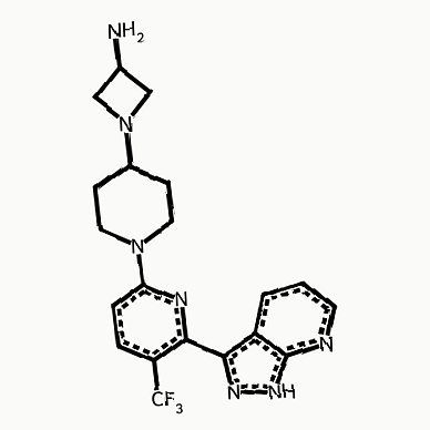 NC1CN(C2CCN(c3ccc(C(F)(F)F)c(-c4n[nH]c5ncccc45)n3)CC2)C1